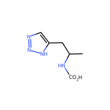 CC(Cc1cnn[nH]1)NC(=O)O